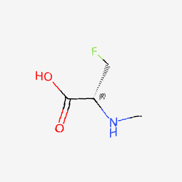 CN[C@@H](CF)C(=O)O